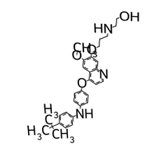 COc1cc2c(Oc3ccc(Nc4ccc(C(C)(C)C)cc4)cc3)ccnc2cc1OCCCNCCO